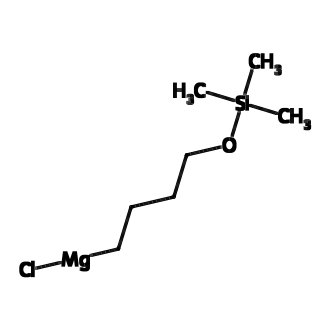 C[Si](C)(C)OCCC[CH2][Mg][Cl]